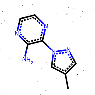 Cc1cnn(-c2nccnc2N)c1